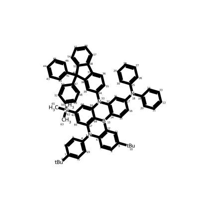 CC(C)(C)c1ccc(N2c3ccc(C(C)(C)C)cc3B3c4ccc(N(c5ccccc5)c5ccccc5)cc4N(c4ccc5c(c4)C(c4ccccc4)(c4ccccc4)c4ccccc4-5)c4cc([Si](C)(C)C)cc2c43)cc1